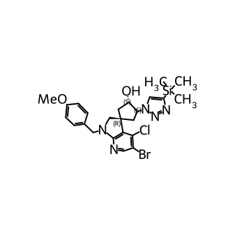 COc1ccc(CN2C[C@]3(C[C@H](O)[C@@H](n4cc([Si](C)(C)C)nn4)C3)c3c2ncc(Br)c3Cl)cc1